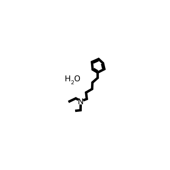 CCN(CC)CCCCCc1ccccc1.O